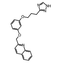 c1cc(OCCCc2nc[nH]n2)cc(OCc2ccc3ccccc3n2)c1